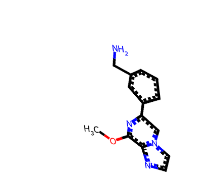 COc1nc(-c2cccc(CN)c2)cn2ccnc12